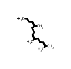 [CH2]CCC=C(C)CCC=C(C)CCC=C(C)C